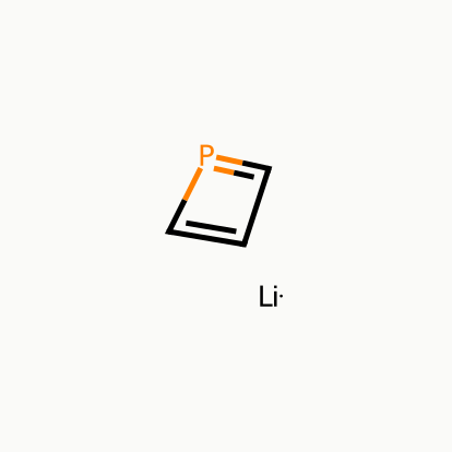 C1=CP=C1.[Li]